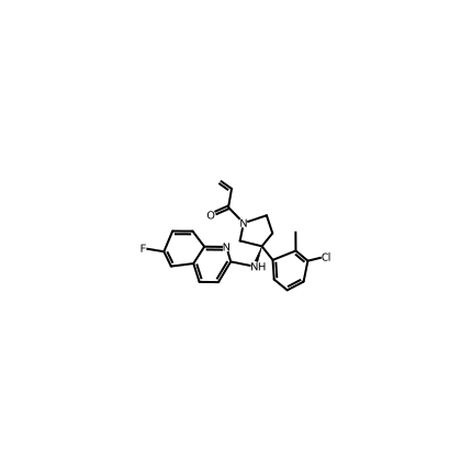 C=CC(=O)N1CC[C@](Nc2ccc3cc(F)ccc3n2)(c2cccc(Cl)c2C)C1